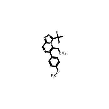 COCc1c(-c2ccc(OC(F)(F)F)cc2)ncc2nnc(C(C)(F)F)n12